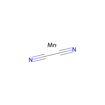 N#CC#N.[Mn]